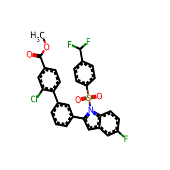 COC(=O)c1ccc(-c2cccc(-c3cc4cc(F)ccc4n3S(=O)(=O)c3ccc(C(F)F)cc3)c2)c(Cl)c1